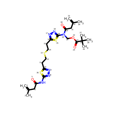 C=C(C)CC(=O)Nc1nnc(CCSCCc2nnc(N(COC(=O)C(C)(C)C)C(=O)CC(=C)C)s2)s1